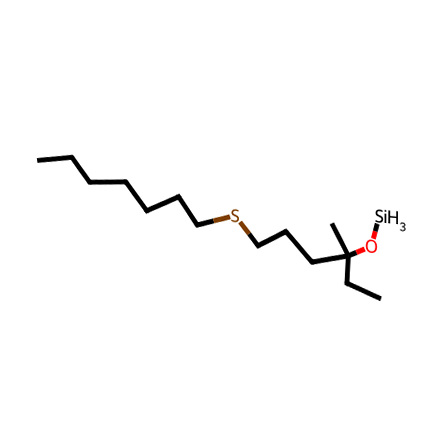 CCCCCCCSCCCC(C)(CC)O[SiH3]